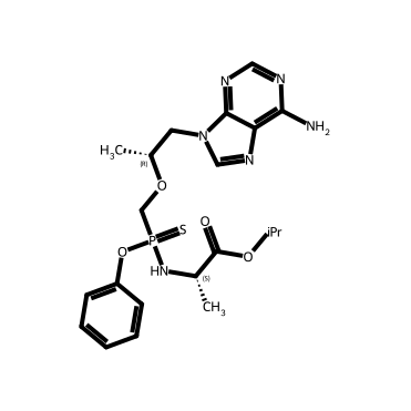 CC(C)OC(=O)[C@H](C)NP(=S)(CO[C@H](C)Cn1cnc2c(N)ncnc21)Oc1ccccc1